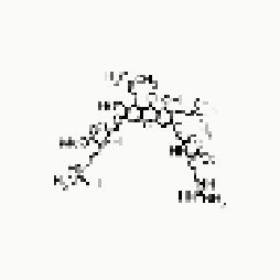 CCC(=O)[C@H](CCCNC(=N)N)NC(=O)COc1cc2oc3cc(OCC(=O)N[C@@H](CCCNC(=N)N)C(=O)OC)c(CO)c(CC=C(C)C)c3c(=O)c2c(O)c1CC=C(C)C